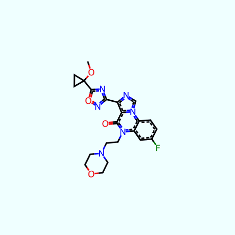 COC1(c2nc(-c3ncn4c3c(=O)n(CCN3CCOCC3)c3cc(F)ccc34)no2)CC1